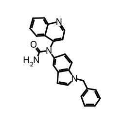 NC(=O)N(c1ccc2c(ccn2Cc2ccccc2)c1)c1ccnc2ccccc12